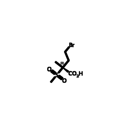 C[C@@](CCBr)(C(=O)O)S(C)(=O)=O